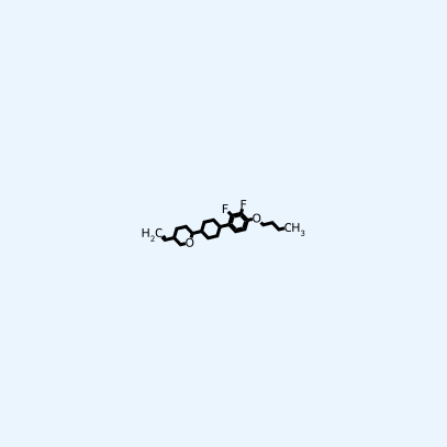 C=CC1CCC(C2CCC(c3ccc(OCCCC)c(F)c3F)CC2)OC1